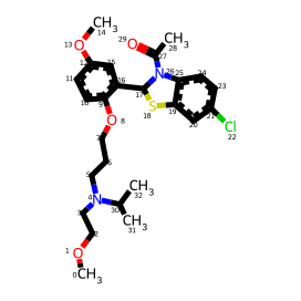 COCCN(CCCOc1ccc(OC)cc1C1Sc2cc(Cl)ccc2N1C(C)=O)C(C)C